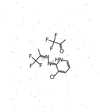 C/C(=N/N=c1\[nH]cccc1Cl)C(F)(F)F.CC(=O)C(F)(F)F